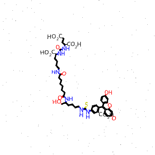 O=C(O)CC[C@H](NC(=O)N[C@@H](CCCCNC(=O)CCCCCCC(=O)NC(CO)CCCCNC(=S)Nc1ccc(-c2c3ccc(=O)cc-3oc3cc(O)ccc23)c(C(=O)O)c1)C(=O)O)C(=O)O